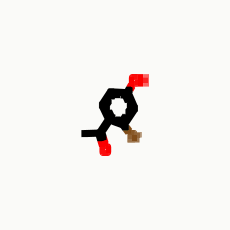 CC(=O)c1ccc(O)cc1Br